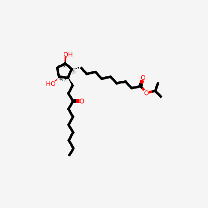 CCCCCCCC(=O)CC[C@@H]1[C@@H](CCCCCCCCC(=O)OC(C)C)[C@H](O)C[C@H]1O